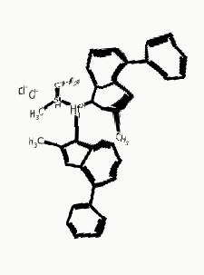 CC1=Cc2c(-c3ccccc3)cccc2[CH]1[Hf+2]([CH]1C(C)=Cc2c(-c3ccccc3)cccc21)[SiH](C)C.[Cl-].[Cl-]